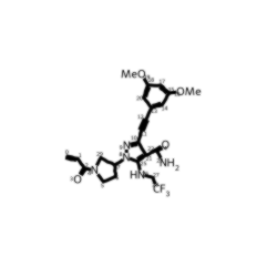 C=CC(=O)N1CCC(n2nc(C#Cc3cc(OC)cc(OC)c3)c(C(N)=O)c2NCC(F)(F)F)C1